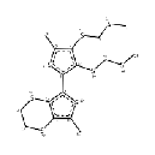 CSCSc1c(C)sc(-c2sc(C)c3c2SCCS3)c1SCSC